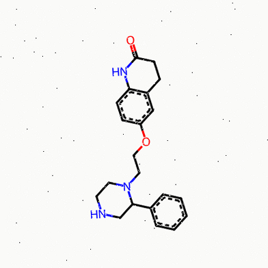 O=C1CCc2cc(OCCN3CCNCC3c3ccccc3)ccc2N1